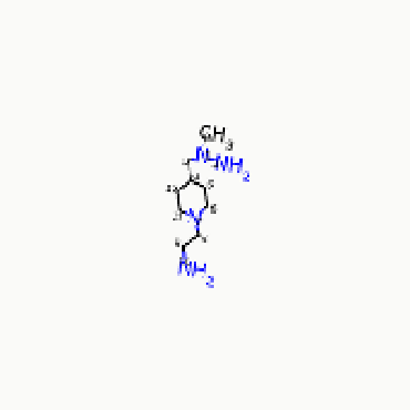 CN(N)CC1CCN(CCN)CC1